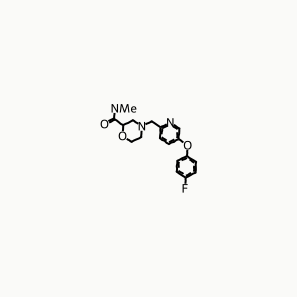 CNC(=O)C1CN(Cc2ccc(Oc3ccc(F)cc3)cn2)CCO1